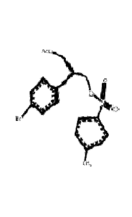 CC(=O)OCC(COS(=O)(=O)c1ccc(C)cc1)c1ccc(Br)cc1